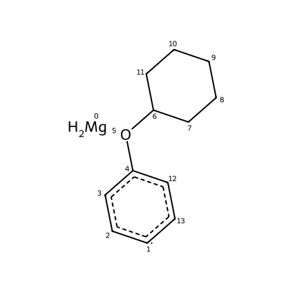 [MgH2].[c]1ccc(OC2CCCCC2)cc1